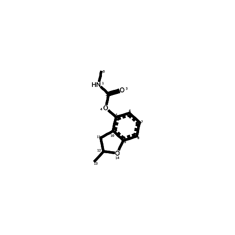 CNC(=O)Oc1cccc2c1CC(C)O2